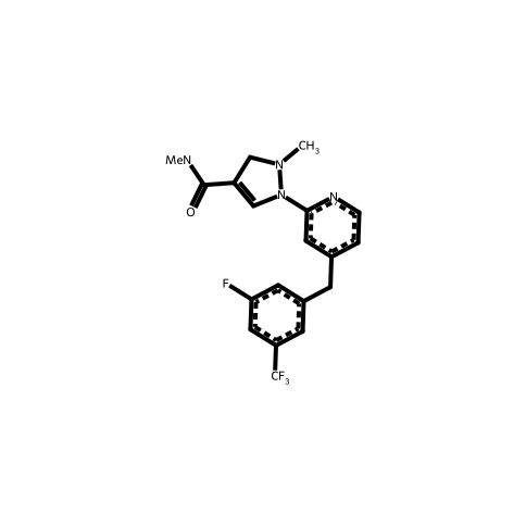 CNC(=O)C1=CN(c2cc(Cc3cc(F)cc(C(F)(F)F)c3)ccn2)N(C)C1